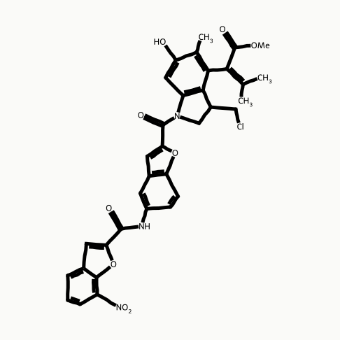 COC(=O)C(=C(C)C)c1c(C)c(O)cc2c1C(CCl)CN2C(=O)c1cc2cc(NC(=O)c3cc4cccc([N+](=O)[O-])c4o3)ccc2o1